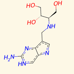 Nc1nc2c(CN[C@H](CO)[C@H](O)CO)cnc-2c[nH]1